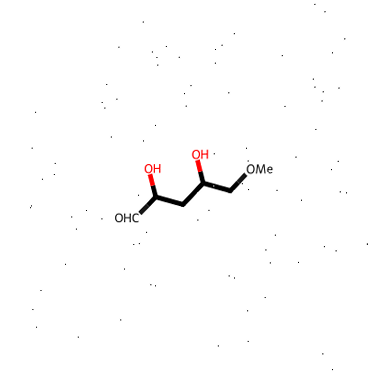 COCC(O)CC(O)C=O